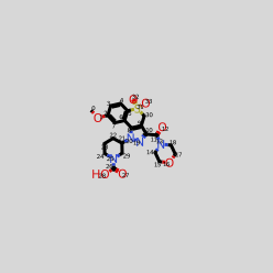 COc1ccc2c(c1)-c1c(c(C(=O)N3CCOCC3)nn1C1CCCN(C(=O)O)C1)CS2(=O)=O